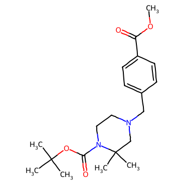 COC(=O)c1ccc(CN2CCN(C(=O)OC(C)(C)C)C(C)(C)C2)cc1